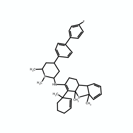 CC1CC(c2ccc(-c3ccc(F)cc3)cc2)CC(NC2=C(C3(C)C=CCCC3)C3(C)SC4(C)C=CC=CC4C3CC2)N1C